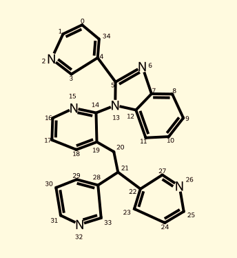 c1cncc(-c2nc3ccccc3n2-c2ncccc2CC(c2cccnc2)c2cccnc2)c1